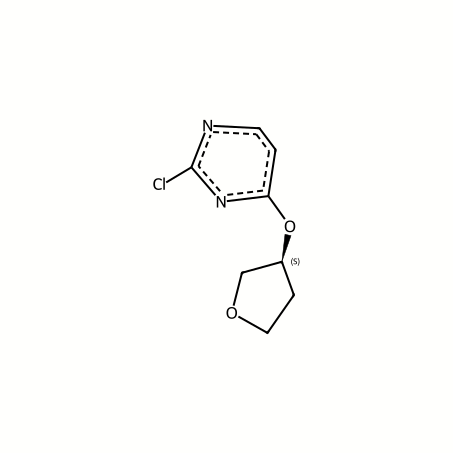 Clc1nccc(O[C@H]2CCOC2)n1